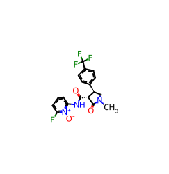 CN1C[C@H](c2ccc(C(F)(F)F)cc2)[C@@H](C(=O)Nc2cccc(F)[n+]2[O-])C1=O